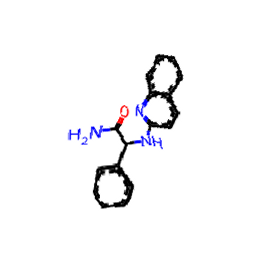 NC(=O)C(Nc1ccc2ccccc2n1)c1ccccc1